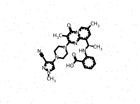 Cc1cc([C@@H](C)Nc2ccccc2C(=O)O)c2nc(N3CCN(c4cn(C)nc4C#N)CC3)c(C)c(=O)n2c1